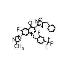 Cc1cn(-c2cc3c(cc2F)c(=O)c(-c2noc(Cc4ccccc4)n2)cn3Cc2ccc(C(F)(F)F)cc2F)cn1